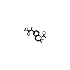 COC(=O)C(C)c1ccc2c(c1)CCC(C)(C)N2C(C)=O